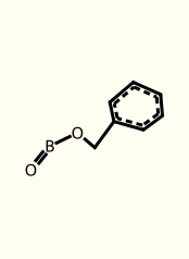 O=BOCc1ccccc1